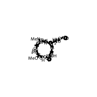 CNC(=O)C[C@@H]1NC(=O)c2csc(n2)-c2ccc(-c3nc(NC(=O)OCCN4CCOCC4)cs3)nc2-c2csc(n2)-c2csc(n2)[C@H]([C@@H](O)c2ccccc2)NC(=O)CNC(=O)c2nc(sc2COC)[C@H](C(C)C)NC(=O)c2nc1sc2C